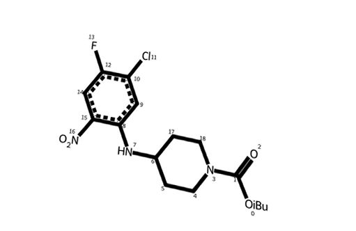 CC(C)COC(=O)N1CCC(Nc2cc(Cl)c(F)cc2[N+](=O)[O-])CC1